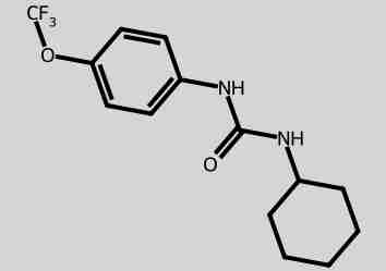 O=C(Nc1ccc(OC(F)(F)F)cc1)NC1CCCCC1